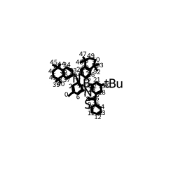 Cc1cc2c3c(c1)-n1c4sc5ccccc5c4c4cc(C(C)(C)C)cc(c41)B3c1cc3c(cc1N2c1ccc2c(c1)C(C)(C)CCC2(C)C)C(C)(C)CCC3(C)C